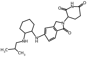 CC(C)CNC1CCCCC1Nc1ccc2c(c1)CN(C1CCC(=O)NC1=O)C2=O